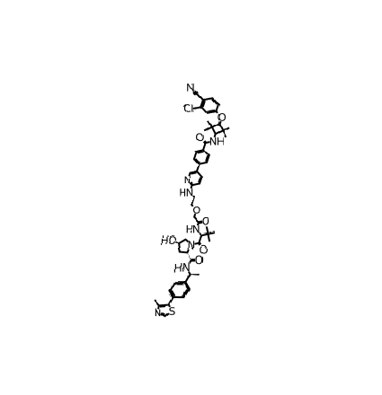 Cc1ncsc1-c1ccc([C@H](C)NC(=O)[C@@H]2C[C@@H](O)CN2C(=O)[C@@H](NC(=O)COCCNc2ccc(-c3ccc(C(=O)NC4C(C)(C)C(Oc5ccc(C#N)c(Cl)c5)C4(C)C)cc3)cn2)C(C)(C)C)cc1